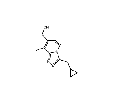 Cc1c(CO)ccn2c(CC3CC3)nnc12